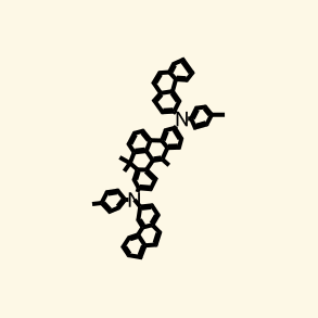 Cc1ccc(N(c2ccc3c(c2)C(C)(C)c2cccc4c2c-3c(C)c2ccc(N(c3ccc(C)cc3)c3ccc5ccc6ccccc6c5c3)cc24)c2ccc3ccc4ccccc4c3c2)cc1